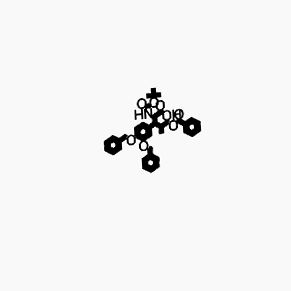 CC(COC(=O)c1ccccc1)C(c1ccc(OCc2ccccc2)c(OCc2ccccc2)c1)[C@H](NC(=O)OC(C)(C)C)C(=O)O